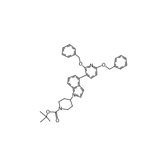 CC(C)(C)OC(=O)N1CCC(n2ccc3c(-c4ccc(OCc5ccccc5)nc4OCc4ccccc4)cccc32)CC1